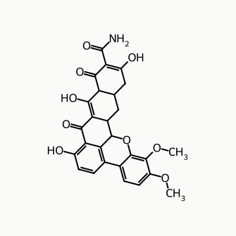 COc1ccc2c(c1OC)OC1c3c-2ccc(O)c3C(=O)C2=C(O)C3C(=O)C(C(N)=O)=C(O)CC3CC21